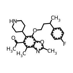 CC(=O)c1c(C2CCNCC2)c(OCCC(C)c2ccc(F)cc2)c2oc(C)nc2c1C